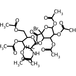 COC(=O)C1(Br)OC(OC(C)=O)C(OC(C)=O)C(OC(C)=O)C1OC1OC(COC(C)=O)C(OC(C)=O)C(OC(C)=O)C1NC(C)=O